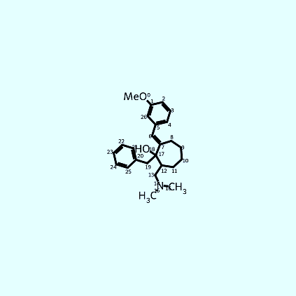 COc1cccc(/C=C2\CCCCC(CN(C)C)C2(O)Cc2ccccc2)c1